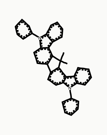 CC1(C)c2c(ccc3c2c2ccccc2n3-c2ccccc2)-c2ccc3c(c21)c1ccccc1n3-c1ccccc1